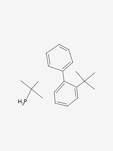 CC(C)(C)P.CC(C)(C)c1ccccc1-c1ccccc1